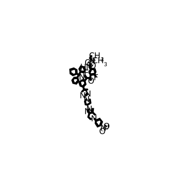 CCN(C)S(=O)(=O)Nc1ccc(F)c(C(=O)c2cn(C(c3ccccc3)(c3ccccc3)c3ccccc3)c3ccc(-c4cnc(N5CCC(n6cc7c(n6)CCN(c6ccc([N+](=O)[O-])cc6)C7)CC5)nc4)cc23)c1F